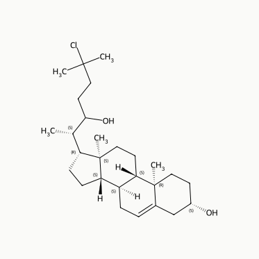 C[C@H](C(O)CCC(C)(C)Cl)[C@H]1CC[C@H]2[C@@H]3CC=C4C[C@@H](O)CC[C@]4(C)[C@H]3CC[C@]12C